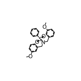 COc1cccc(CN(Cc2cccc(OC)c2)S(=O)(=O)c2ccccc2)c1